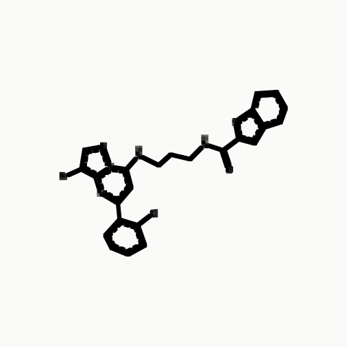 O=C(NCCCNc1cc(-c2ccccc2Cl)nc2c(Br)cnn12)c1cc2ccccc2s1